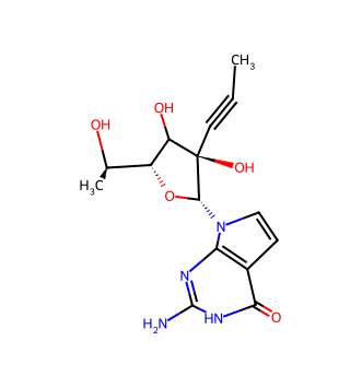 CC#C[C@@]1(O)C(O)[C@@H]([C@@H](C)O)O[C@H]1n1ccc2c(=O)[nH]c(N)nc21